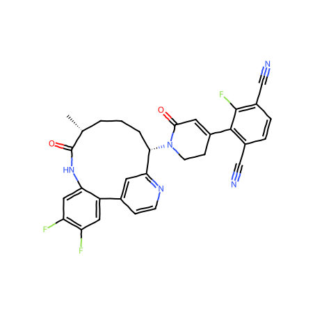 C[C@@H]1CCC[C@H](N2CCC(c3c(C#N)ccc(C#N)c3F)=CC2=O)c2cc(ccn2)-c2cc(F)c(F)cc2NC1=O